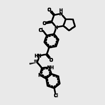 C[C@H](NC(=O)c1ccc(N2C(=O)C(=O)NC3CCCC32)c(Cl)c1)c1nc2cc(Cl)ccc2[nH]1